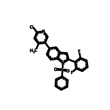 Cc1cc(Cl)ncc1-c1ccc2c(c1)cc(-c1c(F)cccc1F)n2S(=O)(=O)c1ccccc1